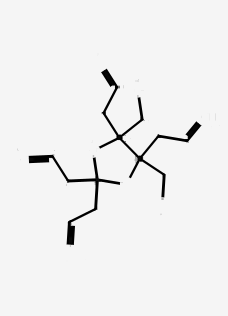 C=CCC1(CC=C)OC(CO)(CC=C)C(CO)(CC=C)O1